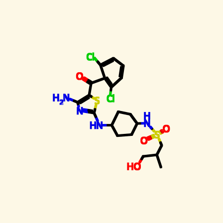 CC(CO)CS(=O)(=O)NC1CCC(Nc2nc(N)c(C(=O)c3c(Cl)cccc3Cl)s2)CC1